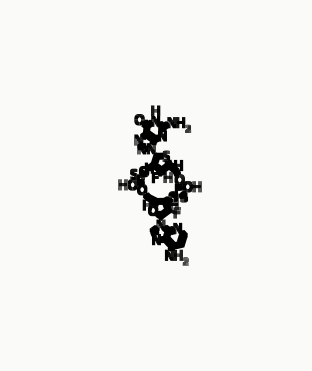 Nc1nc2c(nnn2[C@@H]2S[C@@H]3COP(O)(=S)O[C@H]4[C@H](F)[C@H](n5cnc6c(N)ccnc65)O[C@@H]4COP(O)(=S)O[C@@H]2[C@@H]3F)c(=O)[nH]1